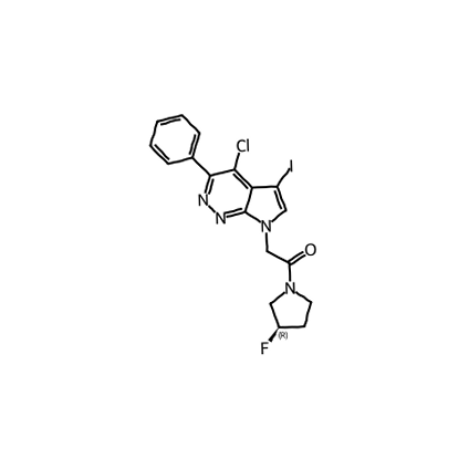 O=C(Cn1cc(I)c2c(Cl)c(-c3ccccc3)nnc21)N1CC[C@@H](F)C1